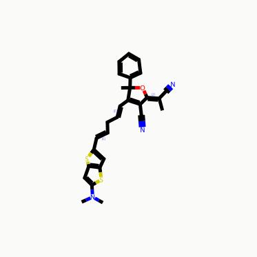 C/C(C#N)=C1/OC(C)(c2ccccc2)C(/C=C/C/C=C/c2cc3sc(N(C)C)cc3s2)=C1C#N